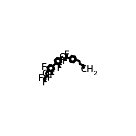 C=CCCc1ccc(C(F)(F)Oc2ccc(-c3cc(F)c(OC(F)=C(F)F)c(F)c3)c(F)c2)cc1